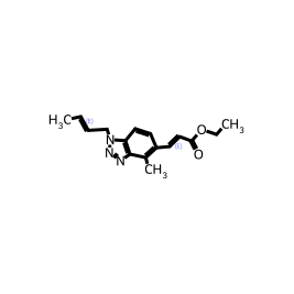 C/C=C/Cn1nnc2c(C)c(/C=C/C(=O)OCC)ccc21